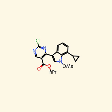 CCCOC(=O)c1cnc(Cl)nc1-c1cn(OC)c2c(C3CC3)cccc12